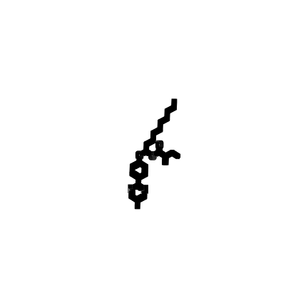 C=C(CC)C(=O)OC(CCCCCCCCC)Oc1ccc(-c2ncc(C)cn2)cc1